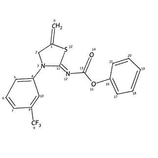 C=C1CN(c2cccc(C(F)(F)F)c2)/C(=N/C(=O)Oc2ccccc2)S1